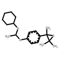 CC(Oc1ccc(C2(C)SC2(C)C)cc1)OC1CCCCC1